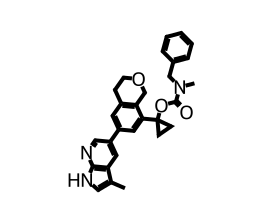 Cc1c[nH]c2ncc(-c3cc4c(c(C5(OC(=O)N(C)Cc6ccccc6)CC5)c3)COCC4)cc12